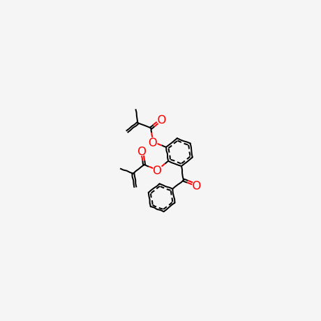 C=C(C)C(=O)Oc1cccc(C(=O)c2ccccc2)c1OC(=O)C(=C)C